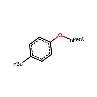 CCCCCOc1ccc(CCCC)cc1